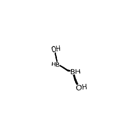 OBBO